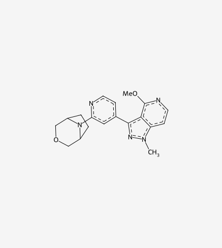 COc1nccc2c1c(-c1ccnc(N3C4CCC3COC4)c1)nn2C